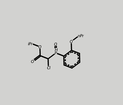 CCCOc1ccccc1[PH](=O)C(Cl)C(=O)OC(C)C